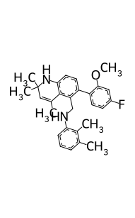 COc1cc(F)ccc1-c1ccc2c(c1CNc1cccc(C)c1C)C(C)=CC(C)(C)N2